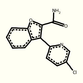 NC(=O)c1oc2ccccc2c1-c1ccc(Cl)cn1